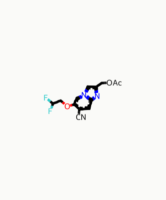 CC(=O)OCc1cn2cc(OCC(F)F)c(C#N)cc2n1